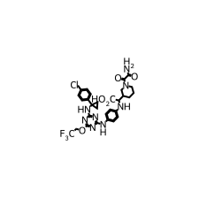 NC(=O)C(=O)N1CCCC(C(Nc2ccc(Nc3nc(NC4(c5ccc(Cl)cc5)CC4)nc(OCC(F)(F)F)n3)cc2)C(=O)O)C1